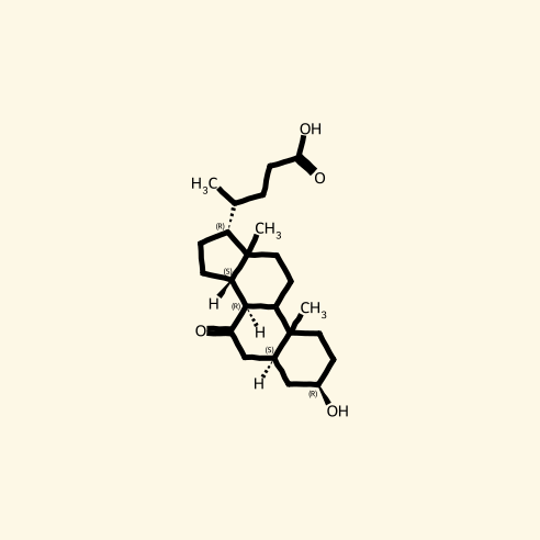 CC(CCC(=O)O)[C@H]1CC[C@H]2[C@@H]3C(=O)C[C@@H]4C[C@H](O)CCC4(C)C3CCC12C